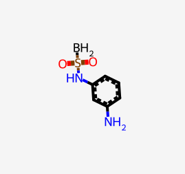 BS(=O)(=O)Nc1cccc(N)c1